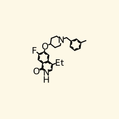 CCc1c[nH]c(=O)c2cc(F)c(OC3CCN(Cc4cccc(C)c4)CC3)cc12